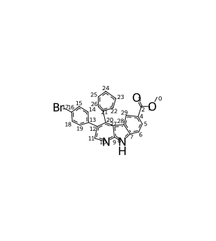 COC(=O)c1ccc2[nH]c3ncc(-c4ccc(Br)cc4)c(-c4ccccc4)c3c2c1